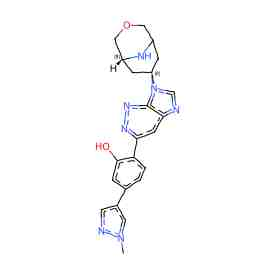 Cn1cc(-c2ccc(-c3cc4ncn([C@@H]5CC6COC[C@@H](C5)N6)c4nn3)c(O)c2)cn1